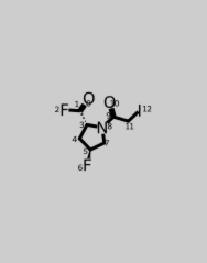 O=C(F)[C@H]1C[C@H](F)CN1C(=O)CI